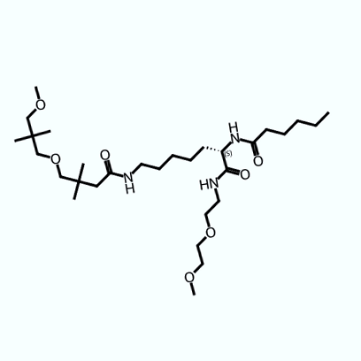 CCCCCC(=O)N[C@@H](CCCCCNC(=O)CC(C)(C)COCC(C)(C)COC)C(=O)NCCOCCOC